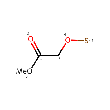 COC(=O)CO[S]